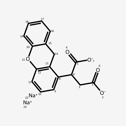 O=C([O-])CC(C(=O)[O-])c1cccc2c1Cc1ccccc1O2.[Na+].[Na+]